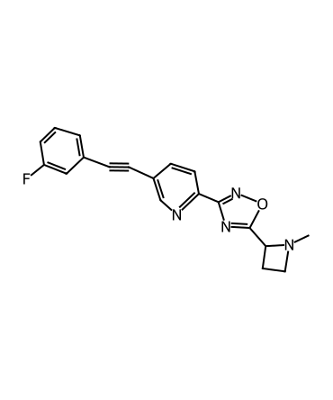 CN1CCC1c1nc(-c2ccc(C#Cc3cccc(F)c3)cn2)no1